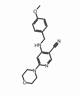 COc1ccc(CNc2cc(N3CCOCC3)ncc2C#N)cc1